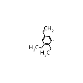 C=Cc1c[c]c(CC)c(C=C)c1